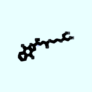 O=C(C/C=C(\O)c1cc2c(o1)C(=O)c1ccccc1C2=O)OCCOC(CO)CO